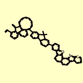 C=Cc1ccccc1C(=C)c1ccccccc(-c2ccc3c(c2)C(C)(C)c2cc(-c4ccc5oc6c(ccc7ccc8c9ccccc9sc8c76)c5c4)ccc2-3)c2ccccc12